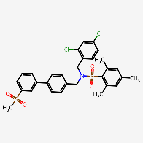 Cc1cc(C)c(S(=O)(=O)N(Cc2ccc(-c3cccc(S(C)(=O)=O)c3)cc2)Cc2ccc(Cl)cc2Cl)c(C)c1